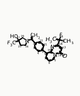 C=C(c1ccc(-c2cccn3c(=O)cc(C(C)(C)F)nc23)cc1)N1CCC(O)(C(F)(F)F)C1